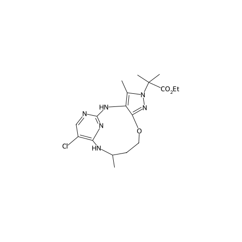 CCOC(=O)C(C)(C)n1nc2c(c1C)Nc1ncc(Cl)c(n1)NC(C)CCO2